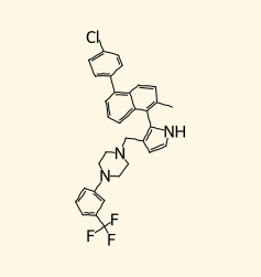 Cc1ccc2c(-c3ccc(Cl)cc3)cccc2c1-c1[nH]ccc1CN1CCN(c2cccc(C(F)(F)F)c2)CC1